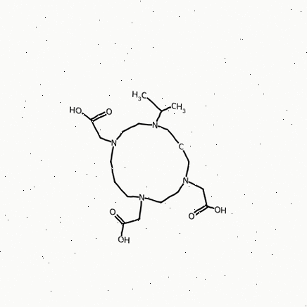 CC(C)N1CCCN(CC(=O)O)CCN(CC(=O)O)CCCN(CC(=O)O)CC1